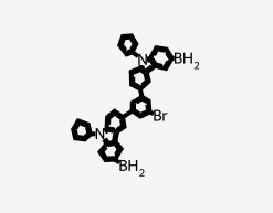 Bc1ccc2c(c1)c1cc(-c3cc(Br)cc(-c4ccc5c(c4)c4cc(B)ccc4n5-c4ccccc4)c3)ccc1n2-c1ccccc1